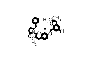 C[C@@H](Cc1ccc(OCc2cc(Cl)cc3c2OC(C)(C)C3)c(F)c1)C(=O)N1C(=O)CC[C@H]1Cc1ccccc1